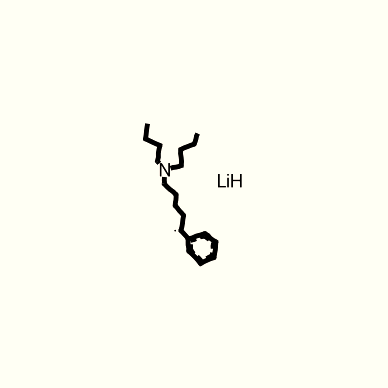 CCCCN(CCCC)CCCC[CH]c1ccccc1.[LiH]